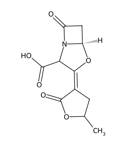 CC1CC(=C2O[C@@H]3CC(=O)N3C2C(=O)O)C(=O)O1